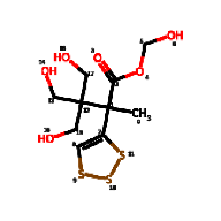 CC(C(=O)OCO)(C1=CSSS1)C(CO)(CO)CO